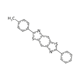 Cc1ccc(-c2nc3cc4sc(-c5ccccc5)nc4cc3s2)cc1